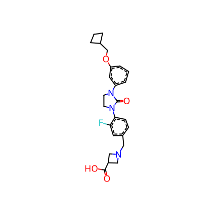 O=C(O)C1CN(Cc2ccc(N3CCN(c4cccc(OCC5CCC5)c4)C3=O)c(F)c2)C1